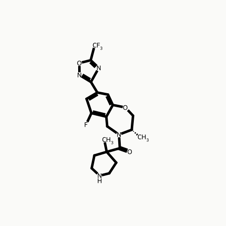 C[C@H]1COc2cc(-c3noc(C(F)(F)F)n3)cc(F)c2CN1C(=O)C1(C)CCNCC1